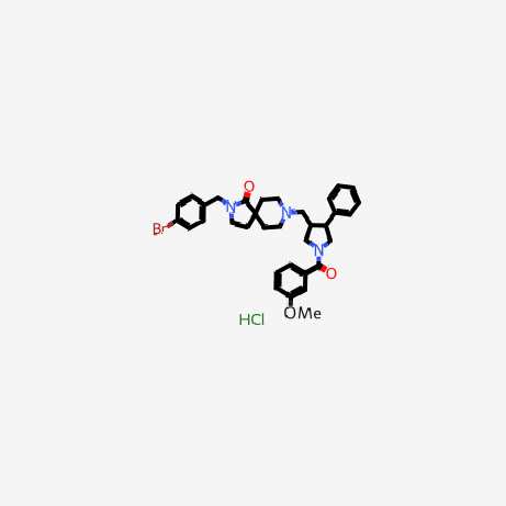 COc1cccc(C(=O)N2CC(CN3CCC4(CC3)CCN(Cc3ccc(Br)cc3)C4=O)C(c3ccccc3)C2)c1.Cl